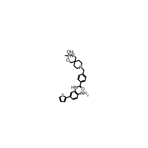 C[PH]1(O)OCC2(CCN(Cc3ccc(C(=O)Nc4cc(-c5cccs5)ccc4N)cc3)CC2)CO1